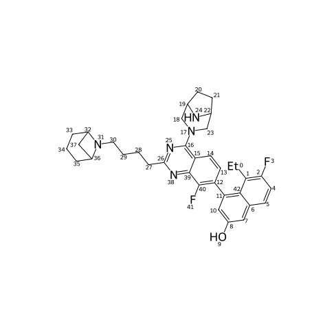 CCc1c(F)ccc2cc(O)cc(-c3ccc4c(N5CC6CCC(C5)N6)nc(CCCCN5C6CCCC5C6)nc4c3F)c12